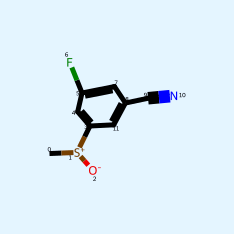 C[S+]([O-])c1cc(F)cc(C#N)c1